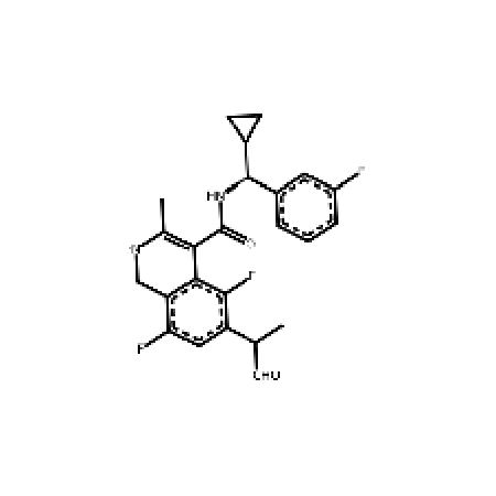 CC1=C(C(=O)N[C@H](c2cccc(F)c2)C2CC2)c2c(F)c(C(C)C=O)cc(F)c2C[N]1